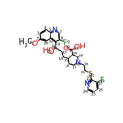 COc1ccc2ncc(F)c([C@H](O)CCC3CCN(CCSc4ncccc4F)CC3C(=O)O)c2c1